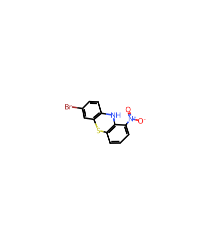 O=[N+]([O-])c1cccc2c1Nc1ccc(Br)cc1S2